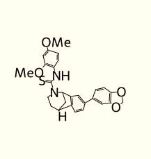 COc1ccc(NC(=S)N2CC[C@@H]3CC2c2cc(-c4ccc5c(c4)OCO5)ccc23)c(OC)c1